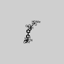 COC(=O)NC[C@@H]1OC(=O)N2c3ccc(-c4ccc([C@@]5(C#N)[C@@H]6COC[C@@H]65)nc4)cc3C[C@@H]12